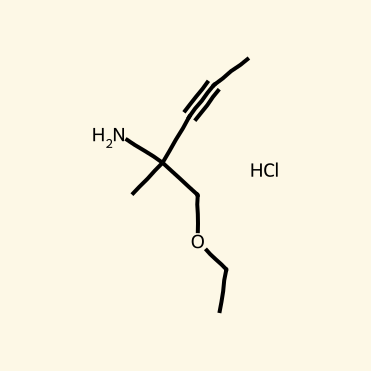 CC#CC(C)(N)COCC.Cl